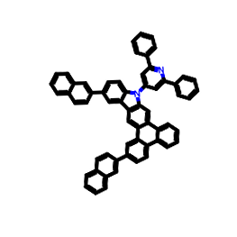 c1ccc(-c2cc(-n3c4ccc(-c5ccc6ccccc6c5)cc4c4cc5c6cc(-c7ccc8ccccc8c7)ccc6c6ccccc6c5cc43)cc(-c3ccccc3)n2)cc1